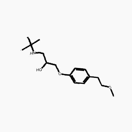 [CH2]C(C)(C)NCC(O)COc1ccc(CCOC)cc1